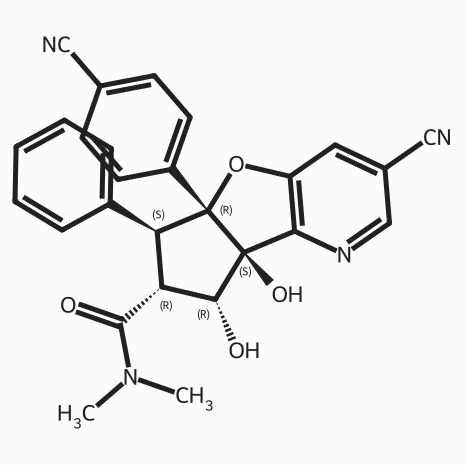 CN(C)C(=O)[C@H]1[C@@H](O)[C@@]2(O)c3ncc(C#N)cc3O[C@@]2(c2ccc(C#N)cc2)[C@@H]1c1ccccc1